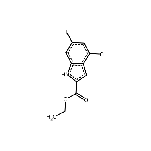 CCOC(=O)c1cc2c(Cl)cc(I)cc2[nH]1